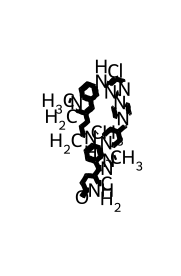 C=C(CCC1=Cc2cc(Nc3nc(N4CCN(CC5CCN(c6cccc7c(C8CCC(=O)NC8=C)nn(C)c67)CC5)CC4)ncc3Cl)ccc2N(C)C1=C)NC